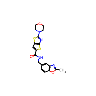 Cc1nc2cc(CNC(=O)c3cc4sc(N5CCOCC5)nc4s3)ccc2o1